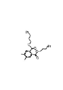 Cc1cc(C(=O)OCCCC(C)C)c(C(=O)OCCCC(C)C)cc1C